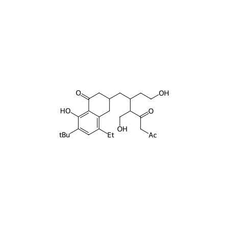 CCc1cc(C(C)(C)C)c(O)c2c1CC(CC(CCO)C(CO)C(=O)CC(C)=O)CC2=O